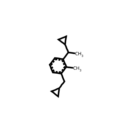 Cc1c(CC2CC2)cccc1C(C)C1CC1